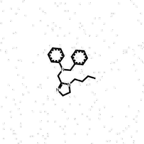 CCCCN1CCN=C1CN(Cc1ccccc1)c1ccccc1